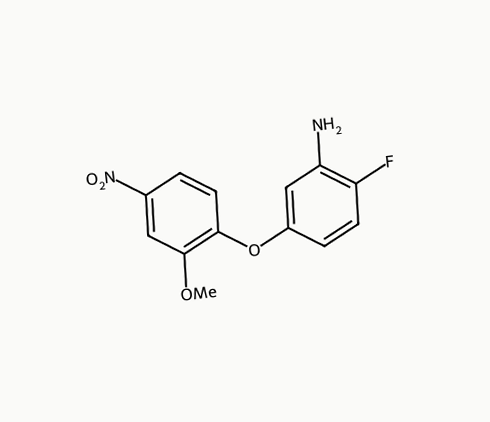 COc1cc([N+](=O)[O-])ccc1Oc1ccc(F)c(N)c1